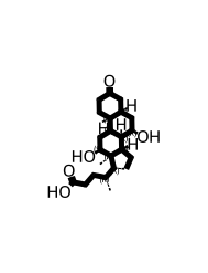 C[C@H](CCC(=O)O)[C@H]1CC[C@H]2[C@@H]3[C@H](O)C[C@@H]4CC(=O)CC[C@]4(C)[C@H]3C[C@H](O)[C@]12C